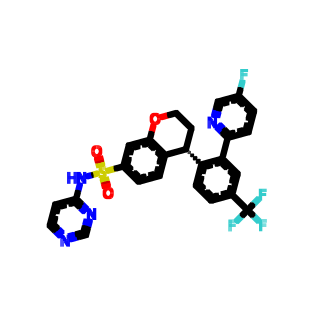 O=S(=O)(Nc1ccncn1)c1ccc2c(c1)OCC[C@@H]2c1ccc(C(F)(F)F)cc1-c1ccc(F)cn1